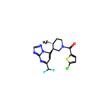 C[C@@H]1CCN(C(=O)c2ccc(Cl)s2)C[C@H]1c1cc(C(F)F)nc2ncnn12